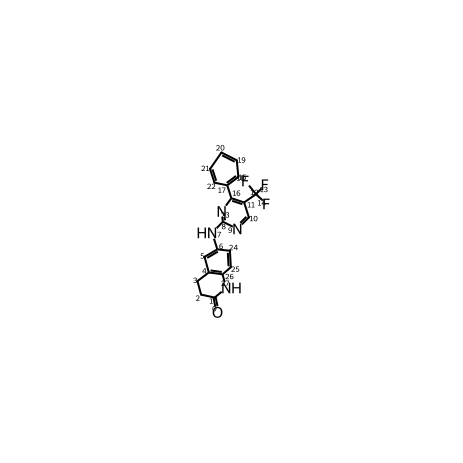 O=C1CCc2cc(Nc3ncc(C(F)(F)F)c(-c4ccccc4)n3)ccc2N1